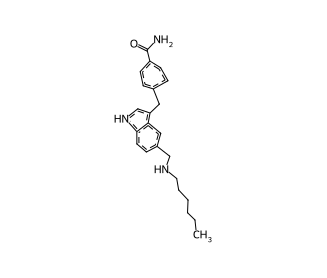 CCCCCCNCc1ccc2[nH]cc(Cc3ccc(C(N)=O)cc3)c2c1